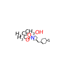 CC(C)(C)OC(=O)N1C/C(=C/C2=CCC3(CC2)CC3)C[C@H]1CO